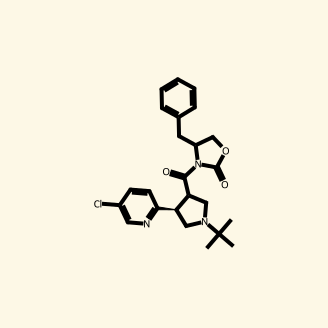 CC(C)(C)N1CC(C(=O)N2C(=O)OCC2Cc2ccccc2)[C@H](c2ccc(Cl)cn2)C1